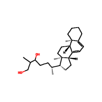 CC(CO)C(O)CC[C@@H](C)[C@H]1CC[C@H]2C3=CC=C4CCCC[C@]4(C)[C@H]3CC[C@]12C